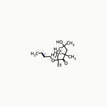 C/C=C/COC(C)(CC)C(=O)C(C)(C)CC(C)(C)O